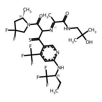 CC[C@H](Nc1cc(C(F)(F)F)c(C(=S)C(/N=C(\C)C(=O)NCC(C)(C)O)C(=O)N2CC(F)(F)C[C@@H]2C)cn1)C(F)(F)F